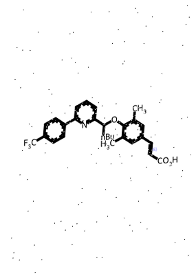 CCCCC(Oc1c(C)cc(/C=C/C(=O)O)cc1C)c1cccc(-c2ccc(C(F)(F)F)cc2)n1